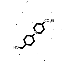 CCOC(=O)C1CCN(C2CCC(CO)CC2)CC1